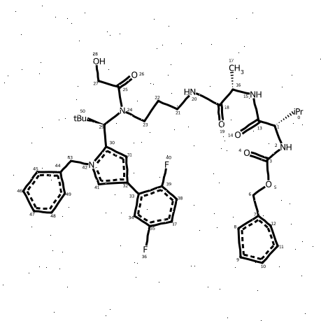 CC(C)[C@H](NC(=O)OCc1ccccc1)C(=O)N[C@@H](C)C(=O)NCCCN(C(=O)CO)[C@@H](c1cc(-c2cc(F)ccc2F)cn1Cc1ccccc1)C(C)(C)C